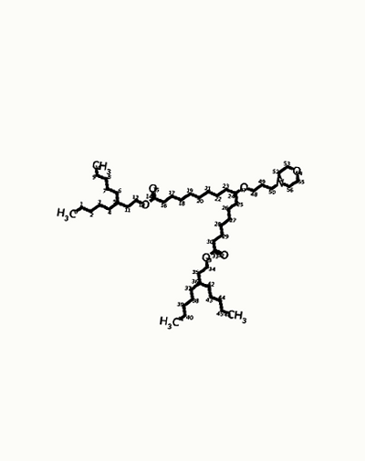 CCCCCC(CCCCC)CCOC(=O)CCCCCCCCC(CCCCCCC(=O)OCCC(CCCCC)CCCCC)OCCCN1CCOCC1